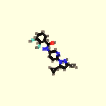 O=C(Nc1ccc(-n2nc(C(F)(F)F)cc2C2CC2)nc1)c1cccc(F)c1F